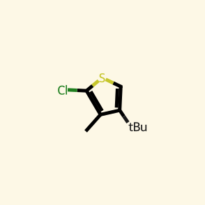 Cc1c(C(C)(C)C)csc1Cl